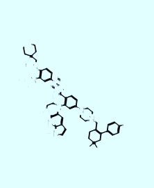 C[C@@H]1COc2nc3[nH]ccc3cc2N1c1cc(N2CCN(CC3=C(c4ccc(Cl)cc4)CC(C)(C)CC3)CC2)ccc1C(=O)NS(=O)(=O)c1ccc(NCC2(F)CCOCC2)c([N+](=O)[O-])c1